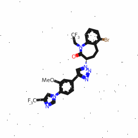 COc1cc(-c2cn([C@H]3CCc4c(Br)cccc4N(CC(F)(F)F)C3=O)nn2)ccc1-n1cnc(C(F)(F)F)c1